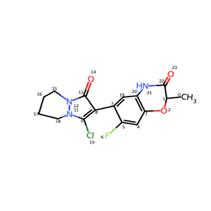 CC1Oc2cc(F)c(-c3c(Cl)n4n(c3=O)CCCC4)cc2NC1=O